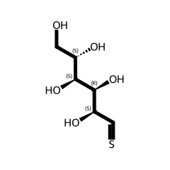 OC[C@H](O)[C@H](O)[C@@H](O)[C@H](O)C=S